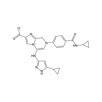 O=C([O-])C1=C[N+]2C(Nc3cc(C4CC4)[nH]n3)=CN(c3ccc(C(=O)NC4CC4)cc3)CC2=N1